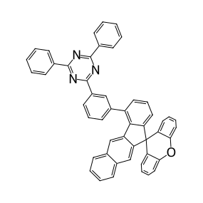 c1ccc(-c2nc(-c3ccccc3)nc(-c3cccc(-c4cccc5c4-c4cc6ccccc6cc4C54c5ccccc5Oc5ccccc54)c3)n2)cc1